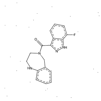 O=C(c1n[nH]c2c(F)cccc12)N1CCNc2ccccc2C1